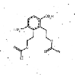 CCC(=O)OCCc1c(C(=O)O)ccc(C(=O)O)c1CCOC(=O)CC